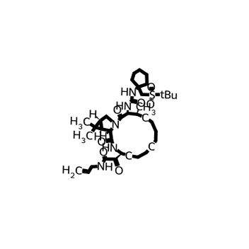 C=CCNC(=O)C(=O)[C@@H]1CCCCCCCC[C@@H](C)[C@H](NC(=O)NC2(CS(=O)(=O)C(C)(C)C)CCCCC2)C(=O)N2C[C@H]3[C@@H]([C@H]2C(=O)N1)C3(C)C